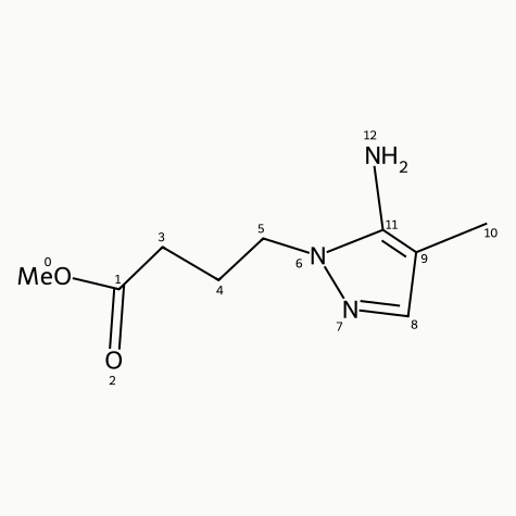 COC(=O)CCCn1ncc(C)c1N